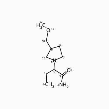 CCC(C(N)=O)N1CCC(COC)C1